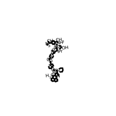 Cc1ncsc1-c1ccc([C@H](C)NC(=O)[C@@H]2C[C@@H](O)CN2C(=O)[C@@H](c2cc(N3CCN(C(=O)OCC4CC[C@]5(COc6nc(N7CCCCCC7)c7cnc8c(c7n6)C(C)c6cccc7cccc-8c67)CCCN45)CC3)no2)C(C)C)cc1